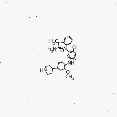 C=C(C(N)=O)c1ccccc1Nc1nc(Nc2ccc(C3CCNCC3)cc2OC)ncc1Cl